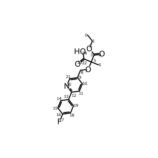 CCOC(=O)C(C)(OCc1ccc(-c2ccc(F)cc2)nc1)C(=O)O